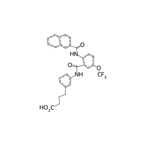 O=C(O)CCCc1cccc(NC(=O)c2cc(OC(F)(F)F)ccc2NC(=O)c2ccc3ccccc3c2)c1